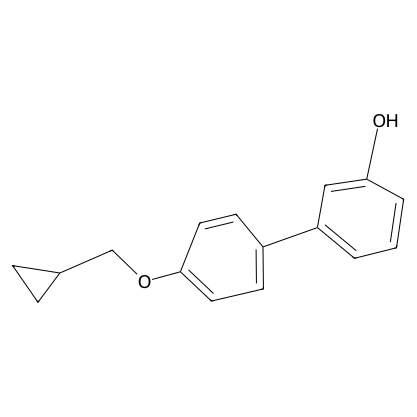 Oc1cccc(-c2ccc(OCC3CC3)cc2)c1